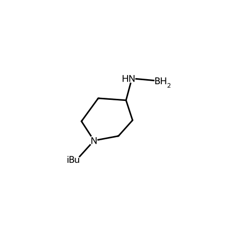 BNC1CCN(C(C)CC)CC1